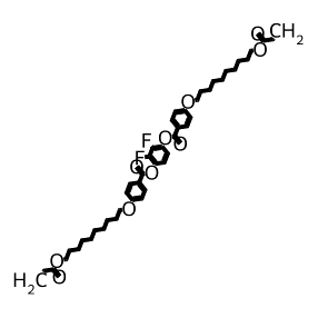 C=CC(=O)OCCCCCCCCCCOc1ccc(C(=O)Oc2ccc(OC(=O)c3ccc(OCCCCCCCCCCOC(=O)C=C)cc3)c(F)c2F)cc1